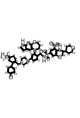 CC1(C)CCC(CN2CCN(c3ccc(C(=O)NS(=O)(=O)c4cc5c(c([N+](=O)[O-])c4)NC(C4CCOCC4)CO5)c(N4CCCOc5nc6[nH]ccc6cc54)c3)CC2)=C(c2ccc(Cl)cc2)C1